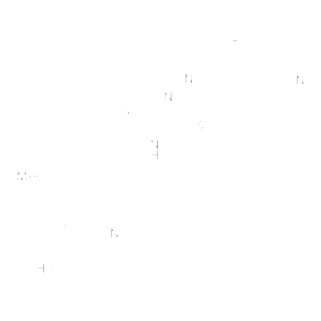 COc1cc(C(=O)Nc2nnc(-c3ccncc3F)s2)ccc1O[C@@H](C)c1ccccn1